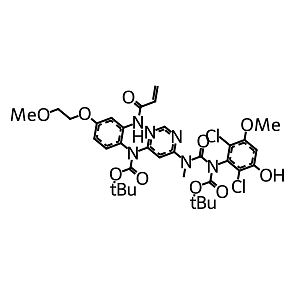 C=CC(=O)Nc1cc(OCCOC)ccc1N(C(=O)OC(C)(C)C)c1cc(N(C)C(=O)N(C(=O)OC(C)(C)C)c2c(Cl)c(O)cc(OC)c2Cl)ncn1